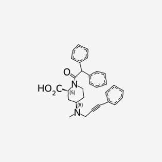 CN(CC#Cc1ccccc1)[C@@H]1CCN(C(=O)C(c2ccccc2)c2ccccc2)[C@H](C(=O)O)C1